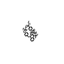 CCOC(=O)c1ccc(S(=O)(=O)Nc2nc(Cc3ccc(OC(F)(F)F)cc3)c3ccccc3c2C(F)(F)F)cc1